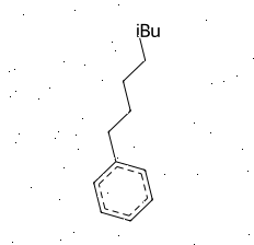 CCC(C)CCCCc1ccccc1